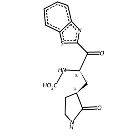 O=C(O)N[C@@H](C[C@@H]1CCNC1=O)C(=O)c1nc2ccccc2s1